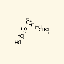 Cl.Cl.Cl.Cl.Cl.O.O